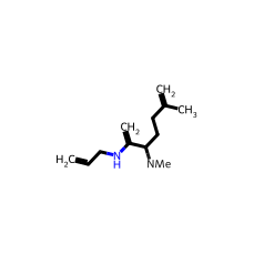 C=CCNC(=C)C(CCC(=C)C)NC